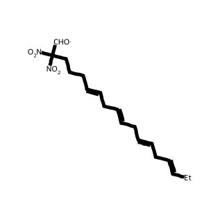 CCC=CCC=CCC=CCC=CCCCC([C]=O)([N+](=O)[O-])[N+](=O)[O-]